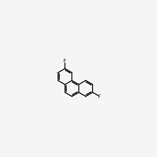 Fc1[c]c2ccc3c[c]c(F)cc3c2cc1